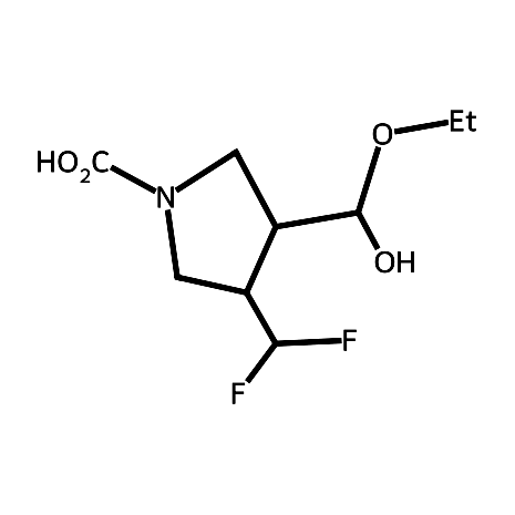 CCOC(O)C1CN(C(=O)O)CC1C(F)F